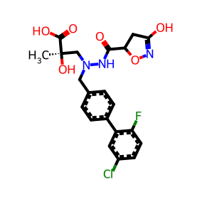 C[C@@](O)(CN(Cc1ccc(-c2cc(Cl)ccc2F)cc1)NC(=O)C1CC(O)=NO1)C(=O)O